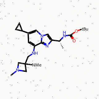 CNC1(CNc2cc(C3CC3)cn3cc([C@@H](C)NC(=O)OC(C)(C)C)nc23)CN(C)C1